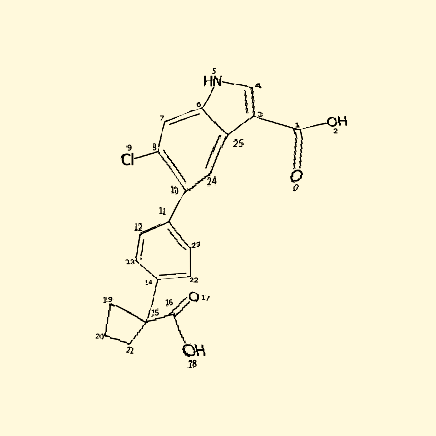 O=C(O)c1c[nH]c2cc(Cl)c(-c3ccc(C4(C(=O)O)CCC4)cc3)cc12